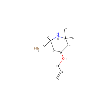 Br.C=CCOC1CC(C)(C)NC(C)(C)C1